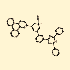 N#CC1(I)C=C(c2cccc(-c3nc(-c4ccccc4)nc(-c4ccccc4)n3)c2)C=C(c2ccc3c4ccccc4c4ccccc4c3c2)C1